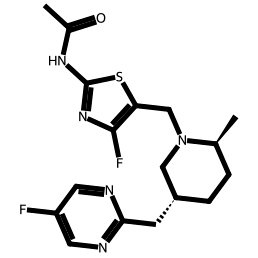 CC(=O)Nc1nc(F)c(CN2C[C@@H](Cc3ncc(F)cn3)CC[C@@H]2C)s1